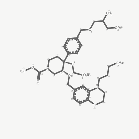 CCOC(=O)CO[C@]1(c2ccc(COCC(C)COC)cc2)CCN(C(=O)OC(C)(C)C)C[C@@H]1OCc1ccc2c(c1)N(CCCOC)CCO2